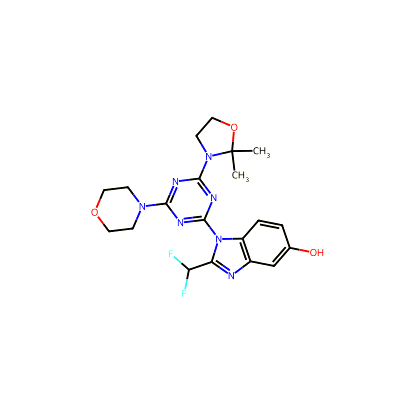 CC1(C)OCCN1c1nc(N2CCOCC2)nc(-n2c(C(F)F)nc3cc(O)ccc32)n1